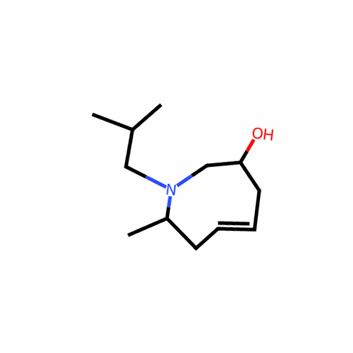 CC(C)CN1CC(O)C/C=C/CC1C